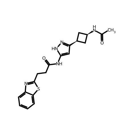 CC(=O)N[C@H]1C[C@@H](c2cc(NC(=O)CCc3nc4ccccc4s3)[nH]n2)C1